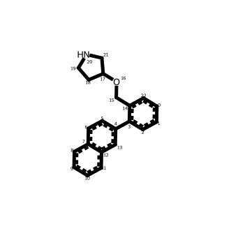 c1ccc(-c2ccc3ccccc3c2)c(COC2CCNC2)c1